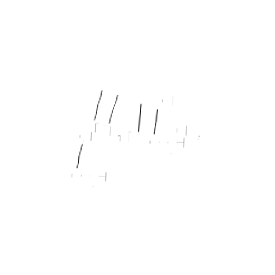 C.CC(C)C.CC(C)C.CCCC.O=C(O)O.O=C(O)O